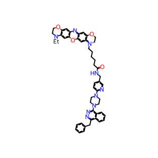 CCN1CCOc2cc3c(cc21)Oc1cc2c(cc1=N3)OCC[N+]=2CCCCCC(=O)NCc1ccc(N2CCN(c3nnc(Cc4ccccc4)c4ccccc34)CC2)nc1